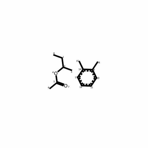 CCC(C)OC(C)=O.Cc1ccccc1C